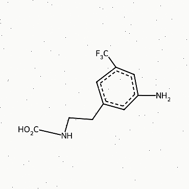 Nc1cc(CCNC(=O)O)cc(C(F)(F)F)c1